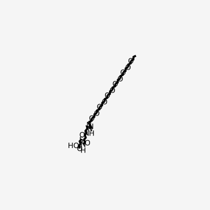 CCCOCCOCCOCCOCCOCCOCCOCCOCCOCCOCCOCCn1cc(CNC(=O)CC2SCC(C(=O)O)NC2=O)nn1